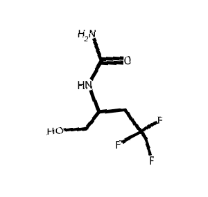 NC(=O)NC(CO)CC(F)(F)F